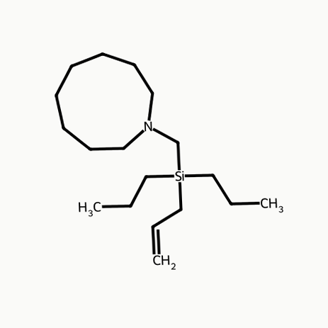 C=CC[Si](CCC)(CCC)CN1CCCCCCCC1